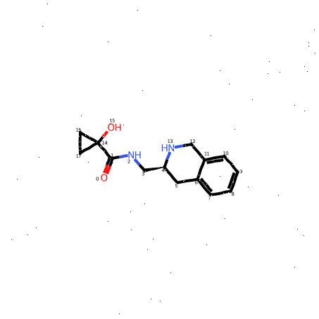 O=C(NC[C@@H]1Cc2ccccc2CN1)C1(O)CC1